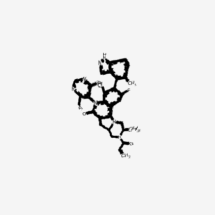 C=CC(=O)N1CC2Cc3c(c4cc(F)c(-c5c(C)ccc6[nH]ncc56)c(Cl)c4n(-c4c(C(C)C)ncnc4C(C)C)c3=O)N2CC1C